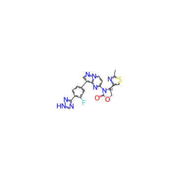 Cc1nc([C@H]2COC(=O)N2c2ccn3ncc(-c4ccc(-c5nc[nH]n5)c(F)c4)c3n2)cs1